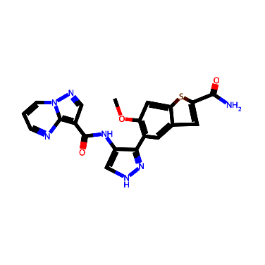 COc1cc2sc(C(N)=O)cc2cc1-c1n[nH]cc1NC(=O)c1cnn2cccnc12